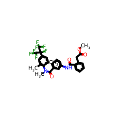 COC(=O)Cc1ccccc1C(=O)Nc1cccc(C(=O)N(C)c2c(C)cc(C(F)(C(F)(F)F)C(F)(F)F)cc2C)c1